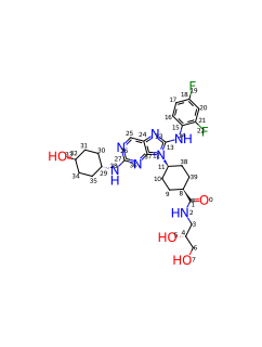 O=C(NC[C@@H](O)CO)[C@H]1CC[C@@H](n2c(Nc3ccc(F)cc3F)nc3cnc(N[C@H]4CC[C@H](O)CC4)nc32)CC1